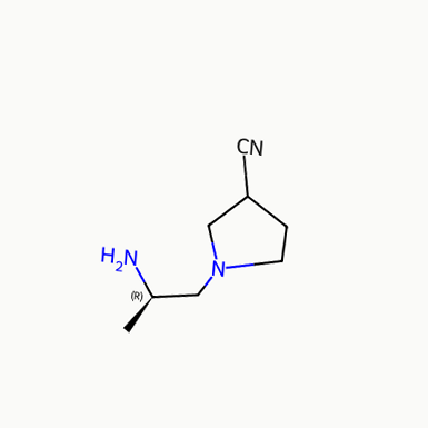 C[C@@H](N)CN1CCC(C#N)C1